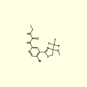 CCNC(=O)Nc1cc(C2=NC(OC)(C(F)(F)F)CS2)c(Br)cn1